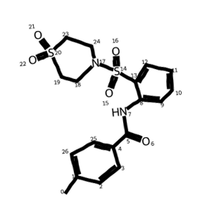 Cc1ccc(C(=O)Nc2ccccc2S(=O)(=O)N2CCS(=O)(=O)CC2)cc1